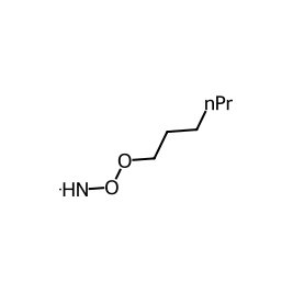 CCCCCCOO[NH]